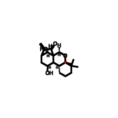 C=C1C(=O)C23C([C@@H](O)CC1[C@H]2O)[C@]12CCCC(C)(C)C1C[C@H]3OC2C